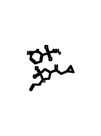 C=CC[C@@H]1CC(NCC2CC2)CS1(=O)=O.NS(=O)(=O)C1=CC=CNS1